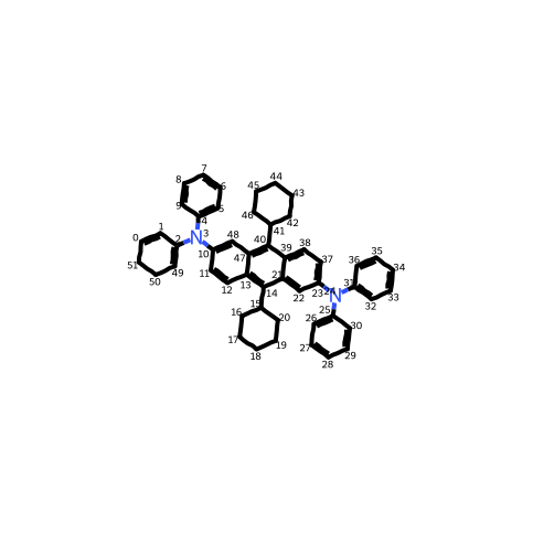 C1=CC(N(c2ccccc2)c2ccc3c(C4CCCCC4)c4cc(N(c5ccccc5)c5ccccc5)ccc4c(C4CCCCC4)c3c2)=CCC1